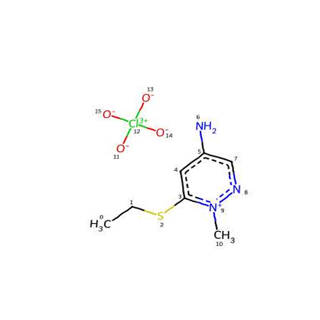 CCSc1cc(N)cn[n+]1C.[O-][Cl+3]([O-])([O-])[O-]